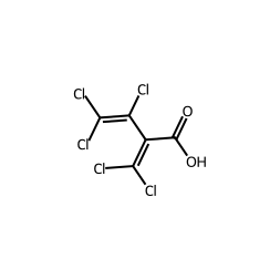 O=C(O)C(=C(Cl)Cl)C(Cl)=C(Cl)Cl